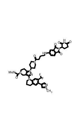 CNC(=O)N1CCc2c(c(N3CCCc4cc(-c5cnn(C)c5)c(C(F)F)cc43)nn2C2CCN(C(=O)CCCNc3ccc4c(c3)C(=O)N(C3CCC(=O)NC3=O)C4=O)CC2)C1